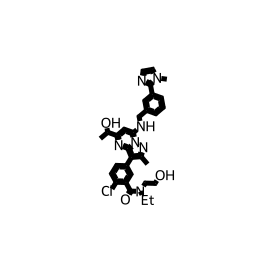 CCN(CCO)C(=O)c1cc(-c2c(C)nn3c(NCc4cccc(-c5nccn5C)c4)cc(C(C)O)nc23)ccc1Cl